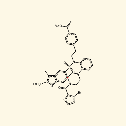 CCOC(=O)c1sc2ccc(S(=O)(=O)N(CCc3ccc(C(=O)OC)cc3)c3ccccc3N3CCN(C(=O)c4sccc4Br)CC3)cc2c1C